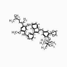 COc1cc(N(C)CCN(C)C)c(N)cc1Nc1nccc(-c2cn(Cc3ccc(O[Si](C)(C)C(C)(C)C)c(C4OCCO4)c3)c3ccccc23)n1